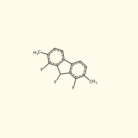 Cc1ccc2c(c1F)C(F)c1c-2ccc(C)c1F